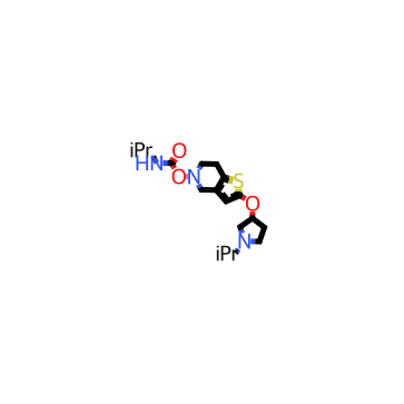 CC(C)NC(=O)ON1CCc2sc(OC3CCN(C(C)C)C3)cc2C1